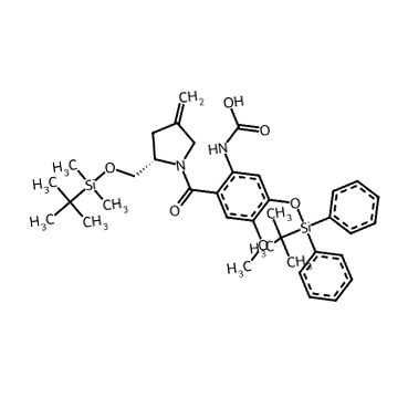 C=C1C[C@@H](CO[Si](C)(C)C(C)(C)C)N(C(=O)c2cc(OC)c(O[Si](c3ccccc3)(c3ccccc3)C(C)(C)C)cc2NC(=O)O)C1